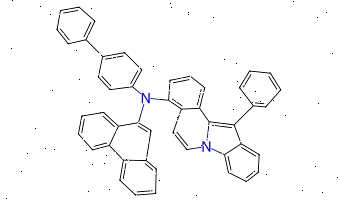 c1ccc(-c2ccc(N(c3cc4ccccc4c4ccccc34)c3cccc4c3ccn3c5ccccc5c(-c5ccccc5)c43)cc2)cc1